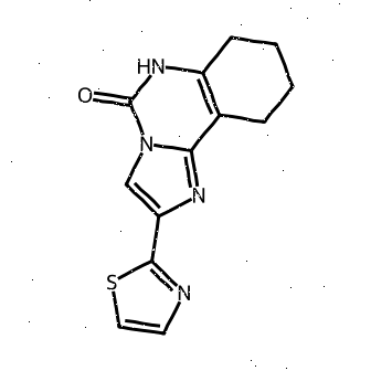 O=c1[nH]c2c(c3nc(-c4nccs4)cn13)CCCC2